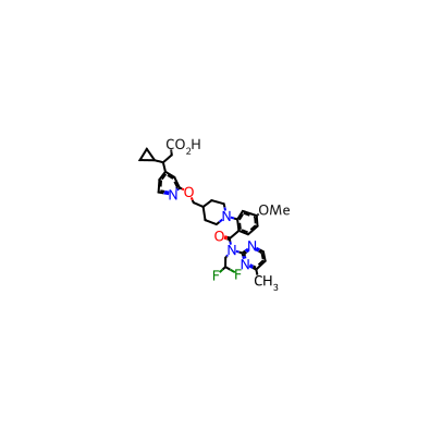 COc1ccc(C(=O)N(CC(F)F)c2nccc(C)n2)c(N2CCC(COc3cc(C(CC(=O)O)C4CC4)ccn3)CC2)c1